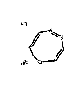 Br.Br.C1=COC=CN=N1